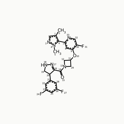 Cc1cnn(C)c1-c1cc(OC2CN(C(=O)C3=NNCC3c3cc(F)cc(F)c3)C2)c(F)cn1